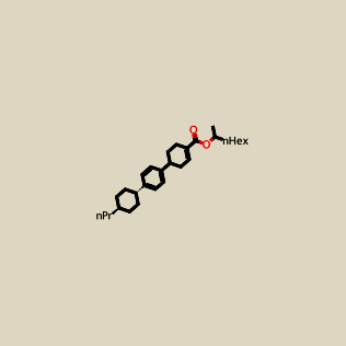 CCCCCCC(C)OC(=O)C1=CCC(c2ccc([C@H]3CC[C@H](CCC)CC3)cc2)CC1